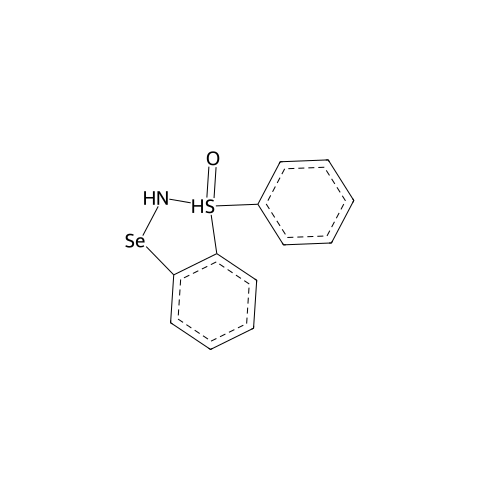 O=[SH]1(c2ccccc2)N[Se]c2ccccc21